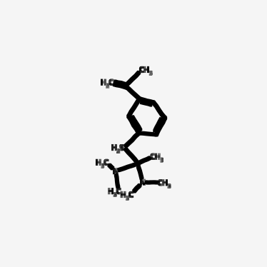 C=C(C)c1cccc([SiH2]C(C)(N(C)C)N(C)C)c1